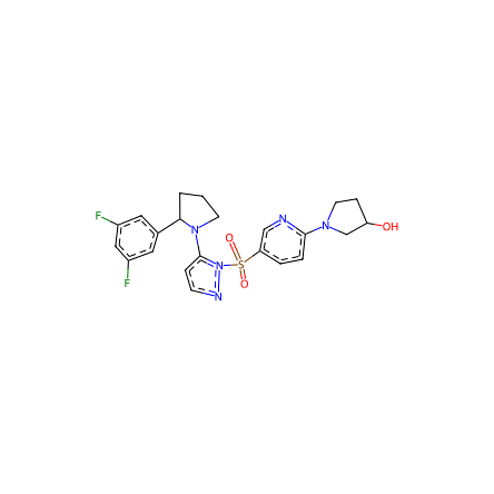 O=S(=O)(c1ccc(N2CCC(O)C2)nc1)n1nccc1N1CCCC1c1cc(F)cc(F)c1